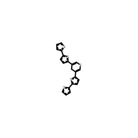 C1=C(c2ccc(-c3cccs3)s2)CC(c2ccc(-c3cccs3)s2)=CS1